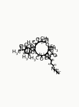 C=C1C(=O)[C@H](C)C[C@@](C)(OC)[C@H](O[C@@H]2OC(C)CC(N(C)C)C2C)[C@@H](C)C(=O)[C@@H](C)C(=O)O[C@H](CC)[C@@]2(C)OC(=O)N(CCCCN=[N+]=[N-])[C@H]12